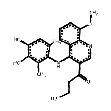 CCCC(=O)c1cnc2c(OC)cccc2c1Nc1c(C)cc(O)c(O)c1C